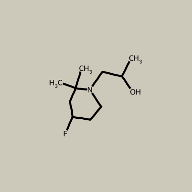 CC(O)CN1CCC(F)CC1(C)C